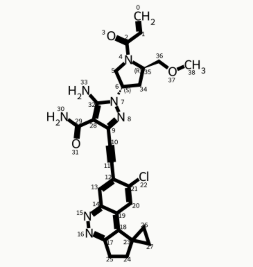 C=CC(=O)N1C[C@@H](n2nc(C#Cc3cc4nnc5c(c4cc3Cl)C3(CC5)CC3)c(C(N)=O)c2N)C[C@@H]1COC